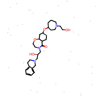 O=C1C2CCC(OC3CCCN(CCO)CC3)CC2OCCN1C[C@H](O)CN1CCc2ccccc2C1